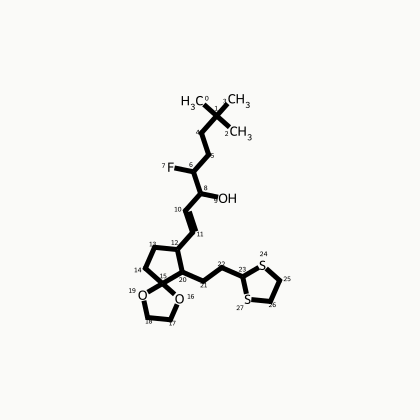 CC(C)(C)CCC(F)C(O)/C=C/C1CCC2(OCCO2)C1CCC1SCCS1